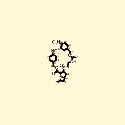 O=C(NCC[S+]([O-])C1=C(C(=O)OCc2ccc([N+](=O)[O-])cc2)N2C(=O)CC2C1)OCc1ccc([N+](=O)[O-])cc1